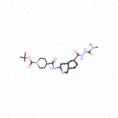 CN(C)C(=S)NNC(=O)c1ccc2cnc(NC(=O)C3CCN(C(=O)OC(C)(C)C)CC3)cc2c1